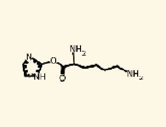 NCCCC[C@H](N)C(=O)Oc1ncc[nH]1